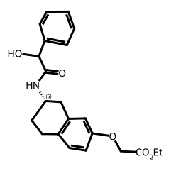 CCOC(=O)COc1ccc2c(c1)C[C@@H](NC(=O)C(O)c1ccccc1)CC2